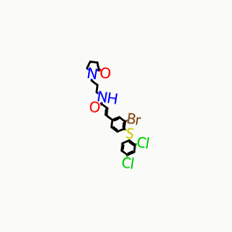 O=C(C=Cc1ccc(Sc2ccc(Cl)cc2Cl)c(Br)c1)NCCCN1CCCC1=O